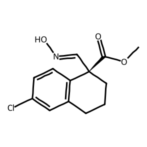 COC(=O)[C@@]1(/C=N/O)CCCc2cc(Cl)ccc21